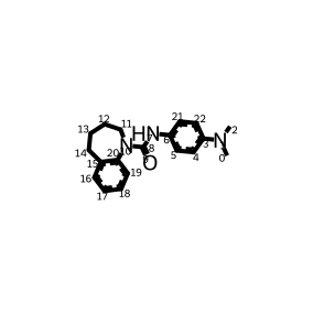 CN(C)c1ccc(NC(=O)N2CCCCc3ccccc32)cc1